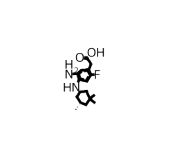 C[C@@H]1C[C@H](Nc2cc(F)c(CC(=O)O)cc2N)CC(C)(C)C1